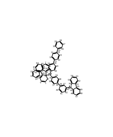 C1=CCC(c2ccccc2-c2ccccc2)(N(c2ccc(-c3ccc(-c4ccccc4)cc3)cc2)c2ccc(-c3cccc(-n4c5ccccc5c5ccccc54)c3)cc2)C(c2ccccc2)=C1